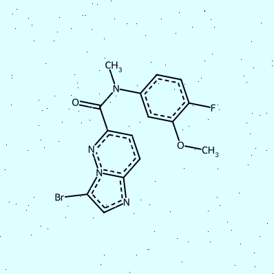 COc1cc(N(C)C(=O)c2ccc3ncc(Br)n3n2)ccc1F